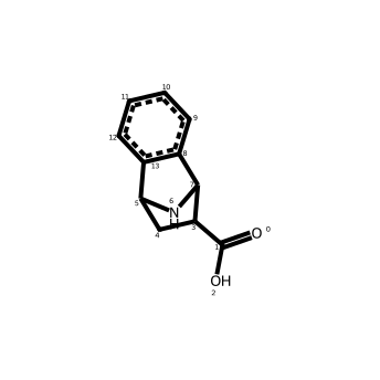 O=C(O)C1CC2NC1c1ccccc12